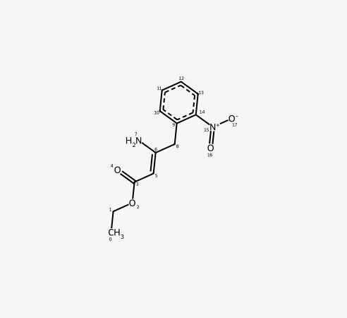 CCOC(=O)C=C(N)Cc1ccccc1[N+](=O)[O-]